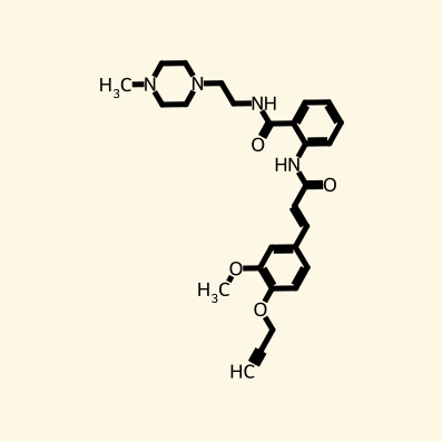 C#CCOc1ccc(C=CC(=O)Nc2ccccc2C(=O)NCCN2CCN(C)CC2)cc1OC